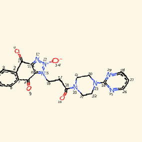 O=C1c2ccccc2C(=O)c2c1n[n+]([O-])n2CCC(=O)N1CCN(c2ncccn2)CC1